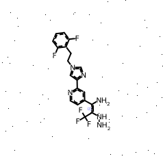 NN/C(=C(\N)c1ccnc(-c2cn(CCc3c(F)cccc3F)cn2)c1)C(F)(F)F